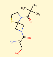 CC(C)(C)C(=O)N1CCSC12CN(C(=O)[C@@H](N)CO)C2